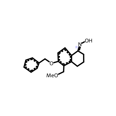 COCc1c(OCc2ccccc2)ccc2c1CCC/C2=N\O